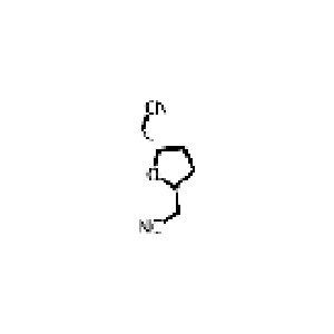 N#CC[C@@H]1CC[C@@H](CC#N)O1